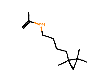 C=C(C)PCCCCC1(C)CC1(C)C